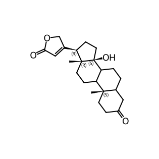 C[C@]12CCC(=O)CC1CCC1C2CC[C@]2(C)[C@@H](C3=CC(=O)OC3)CC[C@]12O